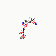 C=CCOC(=O)N[C@H](CCCCNC(=O)OC(C)(C)C)CNc1ccc(COC(=O)Nc2cc(OCCCCCC(=O)N3C[C@@H](CCl)c4c3cc(OC(=O)N3CCN(C)CC3)c3ccccc43)c(OC)cc2C(=O)N2CCC[C@H]2COC(C)=O)cc1